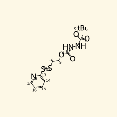 CC(C)(C)OC(=O)NNC(=O)OCCSSc1ccccn1